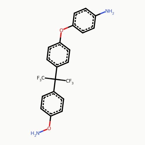 NOc1ccc(C(c2ccc(Oc3ccc(N)cc3)cc2)(C(F)(F)F)C(F)(F)F)cc1